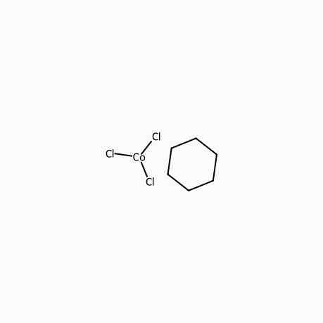 C1CCCCC1.[Cl][Co]([Cl])[Cl]